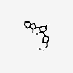 O=C(O)Cc1ccc(-c2cc(Cl)cc(C3Cc4ccncc4N3)c2O)cc1